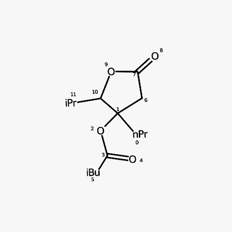 CCCC1(OC(=O)C(C)CC)CC(=O)OC1C(C)C